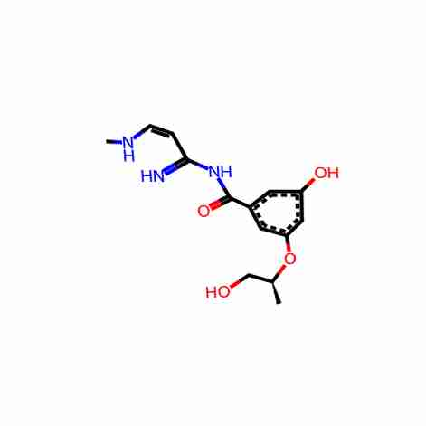 CN/C=C\C(=N)NC(=O)c1cc(O)cc(O[C@@H](C)CO)c1